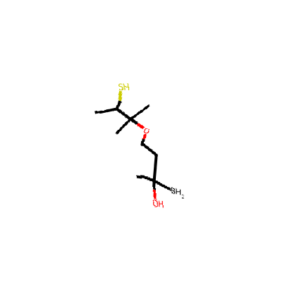 BC(C)(O)CCOC(C)(C)C(C)S